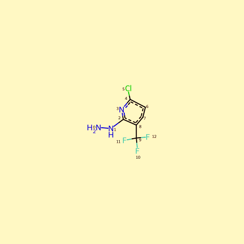 NNc1nc(Cl)ccc1C(F)(F)F